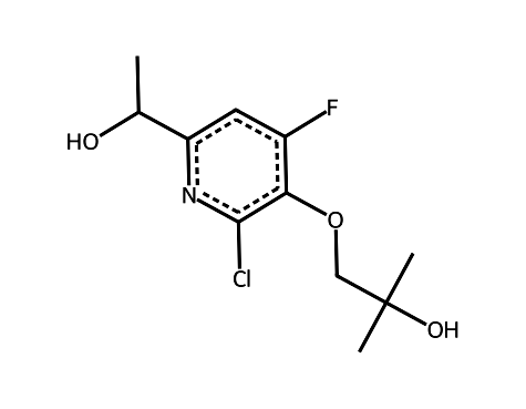 CC(O)c1cc(F)c(OCC(C)(C)O)c(Cl)n1